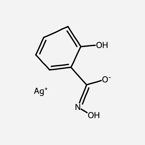 [Ag+].[O-]C(=NO)c1ccccc1O